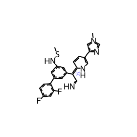 CSNc1cc(/C(C=N)=C2\C=CC(c3cn(C)cn3)=CN2)cc(-c2ccc(F)cc2F)c1